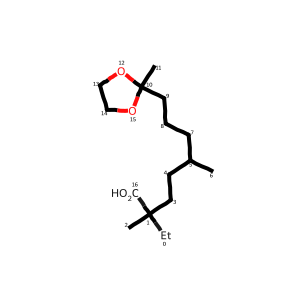 CCC(C)(CCC(C)CCCC1(C)OCCO1)C(=O)O